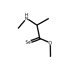 CNC(C)C(=[Se])OC